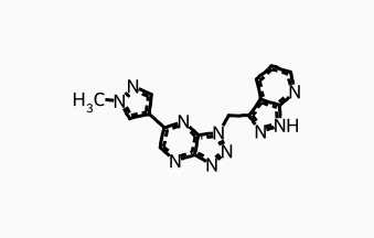 Cn1cc(-c2cnc3nnn(Cc4n[nH]c5ncccc45)c3n2)cn1